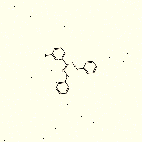 Ic1cccc(C(N=Nc2ccccc2)=NNc2ccccc2)c1